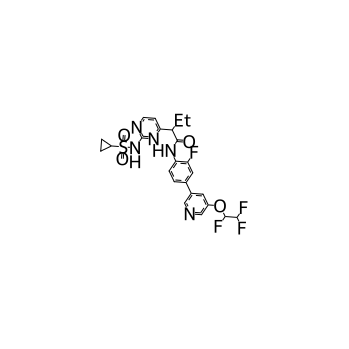 CCC(C(=O)Nc1ccc(-c2cncc(OC(F)C(F)F)c2)cc1F)c1ccnc(NS(=O)(=O)C2CC2)n1